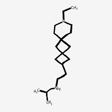 CCN1CCC2(CC1)CC1(CC(CCNC(C)C)C1)C2